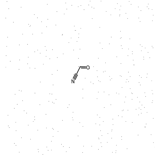 N#C[C]=O